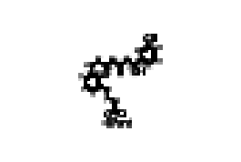 CCCCCOC(=O)CCCc1cccc2c1OC(CNCC(O)c1cccc(C#N)c1)CC2